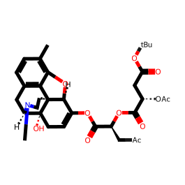 CC(=O)C[C@H](OC(=O)[C@H](CC(=O)OC(C)(C)C)OC(C)=O)C(=O)OC1=CC[C@@]2(O)[C@H]3Cc4ccc(C)c5c4[C@@]2(CCN3C)[C@H]1O5